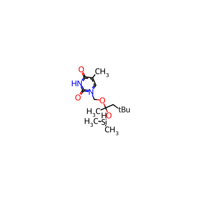 Cc1cn(COC(C)(CC(C)(C)C)O[SiH](C)C)c(=O)[nH]c1=O